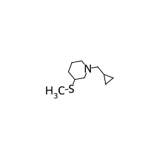 CSC1CCCN(CC2CC2)C1